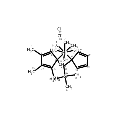 CC1=C[C](C)([Hf]([CH3])([CH3])([CH3])([CH3])([SiH3])([SiH3])[C]2(C[Si](C)(C)C)C=CC=C2)C(C)=C1C.[Cl-].[Cl-]